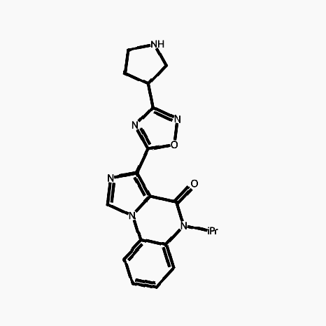 CC(C)n1c(=O)c2c(-c3nc(C4CCNC4)no3)ncn2c2ccccc21